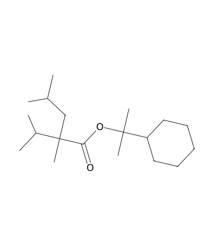 CC(C)CC(C)(C(=O)OC(C)(C)C1CCCCC1)C(C)C